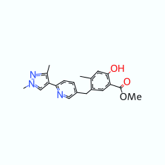 COC(=O)c1cc(Cc2ccc(-c3cn(C)nc3C)nc2)c(C)cc1O